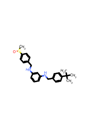 C[S+]([O-])c1ccc(CNc2cccc(NCc3ccc(C(C)(C)C)cc3)c2)cc1